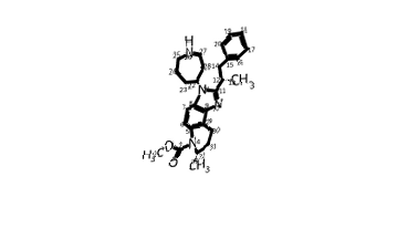 COC(=O)N1c2ccc3c(nc([C@@H](C)Cc4ccccc4)n3[C@@H]3CCCNCC3)c2CC[C@@H]1C